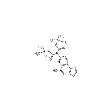 CC(C)(C)OC(=O)N(C(=O)OC(C)(C)C)c1ccc(-c2ccoc2)c(C(=O)O)n1